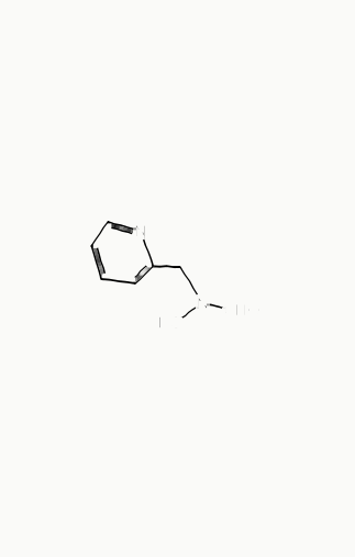 CN([C]=O)Cc1ccccn1